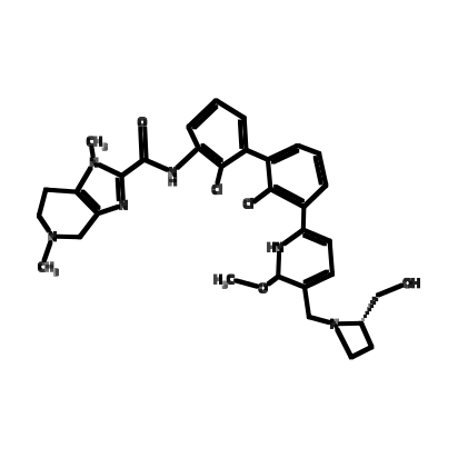 COC1NC(c2cccc(-c3cccc(NC(=O)c4nc5c(n4C)CCN(C)C5)c3Cl)c2Cl)=CC=C1CN1CC[C@H]1CO